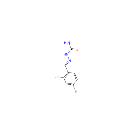 NC(=O)N/N=C/c1ccc(Br)cc1Cl